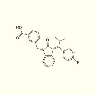 CC(C)/C(=C1\C(=O)N(Cc2cccc(C(=O)O)c2)c2ccccc21)c1ccc(F)cc1